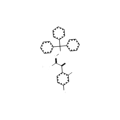 O=C(O)/C(=N/OC(c1ccccc1)(c1ccccc1)c1ccccc1)C(=O)c1ccc(Br)cc1Cl